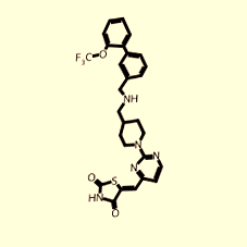 O=C1NC(=O)C(=Cc2ccnc(N3CCC(CNCc4cccc(-c5ccccc5OC(F)(F)F)c4)CC3)n2)S1